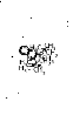 C[P@@](c1nc2ccccc2nc1P(C)(=O)C(C)(C)C)C(C)(C)C